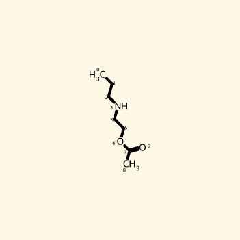 CCCNCCOC(C)=O